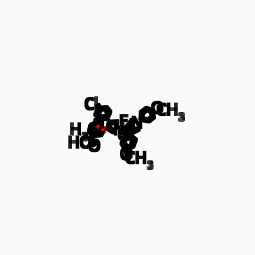 COC[C@H]1CN(C(=O)[C@]2(F)CN(C3CCC(OC)CC3)C[C@H]2c2ccc(OC)cc2)C[C@@H]1c1ccc(Cl)cc1N1CCC(C(=O)O)CC1